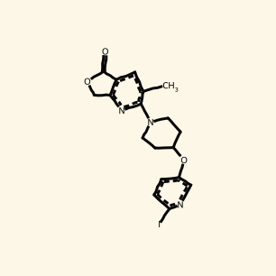 Cc1cc2c(nc1N1CCC(Oc3ccc(I)nc3)CC1)COC2=O